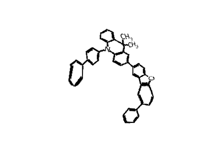 CC1(C)c2ccccc2N(c2ccc(-c3ccccc3)cc2)c2ccc(-c3ccc4oc5ccc(-c6ccccc6)cc5c4c3)cc21